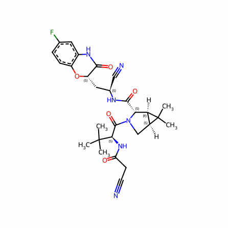 CC(C)(C)[C@H](NC(=O)CC#N)C(=O)N1C[C@H]2[C@@H]([C@H]1C(=O)N[C@H](C#N)C[C@@H]1Oc3ccc(F)cc3NC1=O)C2(C)C